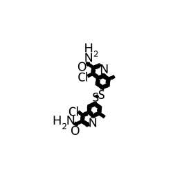 Cc1cc(SSc2cc(C)c3ncc(C(N)=O)c(Cl)c3c2)cc2c(Cl)c(C(N)=O)cnc12